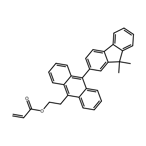 C=CC(=O)OCCc1c2ccccc2c(-c2ccc3c(c2)C(C)(C)c2ccccc2-3)c2ccccc12